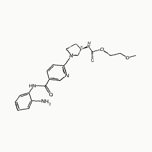 COCCOC(=O)N[C@@H]1CCN(c2ccc(C(=O)Nc3ccccc3N)cn2)C1